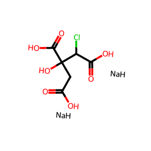 O=C(O)CC(O)(C(=O)O)C(Cl)C(=O)O.[NaH].[NaH]